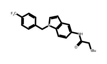 CC(C)(C)CC(=O)Nc1ccc2c(ccn2Cc2ccc(C(F)(F)F)cc2)c1